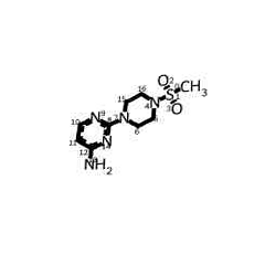 CS(=O)(=O)N1CCN(c2nccc(N)n2)CC1